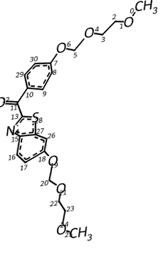 COCCOCOc1ccc(C(=O)c2nc3ccc(OCOCCOC)cc3s2)cc1